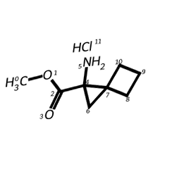 COC(=O)C1(N)CC12CCC2.Cl